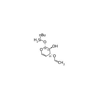 C=CO[C@@H]1C=CO[C@H](O[SiH2]CCCC)[C@H]1O